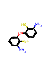 Nc1cccc(Oc2cccc(N)c2S)c1S